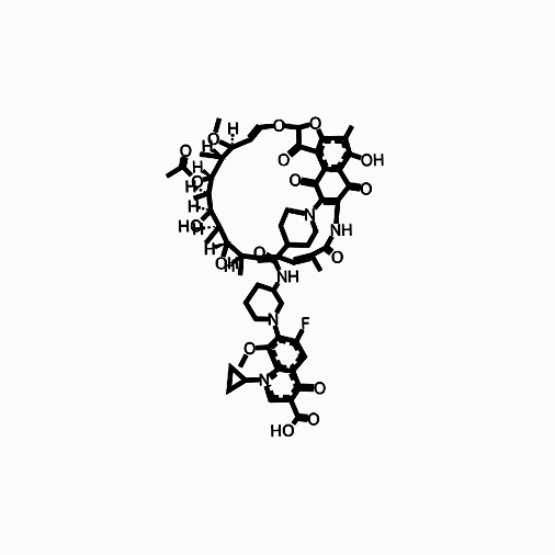 COc1c(N2CCCC(NC(=O)C3CCN(C4=C5NC(=O)/C(C)=C\C=C\[C@H](C)[C@H](O)[C@@H](C)[C@@H](O)[C@@H](C)[C@H](OC(C)=O)[C@H](C)[C@@H](OC)/C=C/O[C@@]6(C)Oc7c(C)c(O)c(c(c7C6=O)C4=O)C5=O)CC3)C2)c(F)cc2c(=O)c(C(=O)O)cn(C3CC3)c12